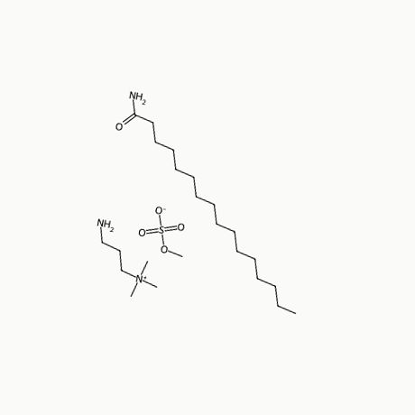 CCCCCCCCCCCCCCCC(N)=O.COS(=O)(=O)[O-].C[N+](C)(C)CCCN